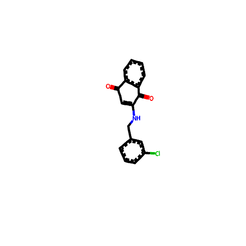 O=C1C=C(NCc2cccc(Cl)c2)C(=O)c2ccccc21